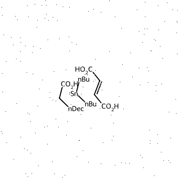 CCCCCCCCCCCC(=O)O.CCC[CH2][Sn][CH2]CCC.O=C(O)C=CC(=O)O